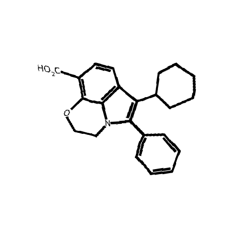 O=C(O)c1ccc2c(C3CCCCC3)c(-c3ccccc3)n3c2c1OCC3